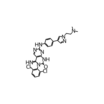 CN(C)CCn1cc(-c2ccc(Nc3ncc4c(=N)n(-c5c(Cl)cccc5Cl)c(=O)[nH]c4n3)cc2)cn1